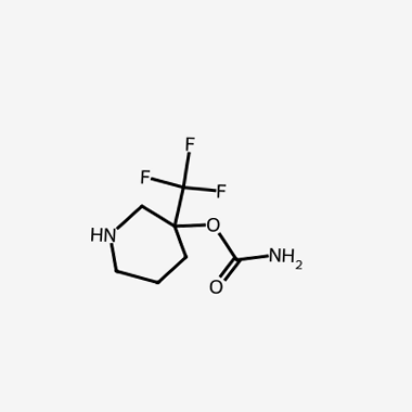 NC(=O)OC1(C(F)(F)F)CCCNC1